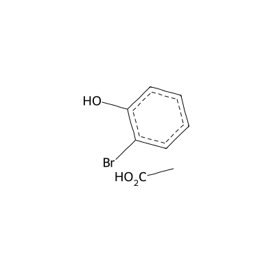 CC(=O)O.Oc1ccccc1Br